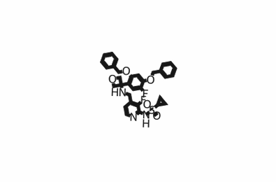 O=S(=O)(Nc1nccc(CNC2(c3cc(F)c(OCc4ccccc4)cc3OCc3ccccc3)COC2)c1F)C1CC1